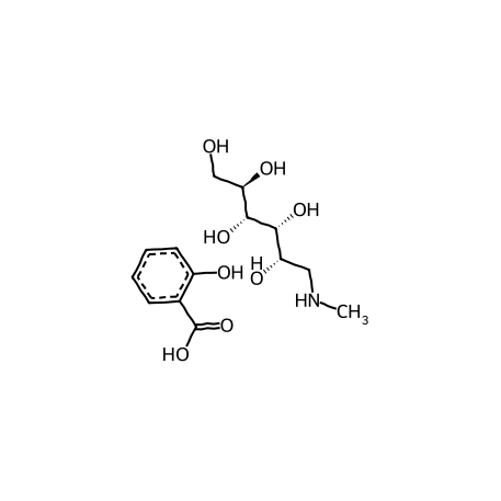 CNC[C@H](O)[C@@H](O)[C@H](O)[C@H](O)CO.O=C(O)c1ccccc1O